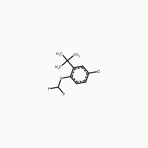 CC(C)(C)c1cc(Cl)ccc1OC(F)F